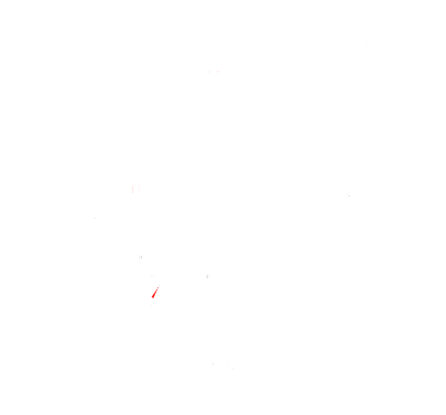 CC(=O)O[C@H]1[C@H](OC(C)=O)COC(Oc2c3c(c(-c4ccc5c(c4)OCO5)c4cc(CO)c(CO)cc24)C(=O)OC3)[C@@H]1OC(C)=O